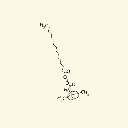 CCCCCCCCCCCCCCCC(=O)OCOC(=O)NC12CC3CC(C)(CC(C)(C3)C1)C2